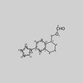 O=COCC1CCCc2nc(-n3cnnn3)ccc21